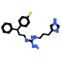 NC(=NCCC(c1ccccc1)c1ccc(F)cc1)NCCCc1c[nH]cn1